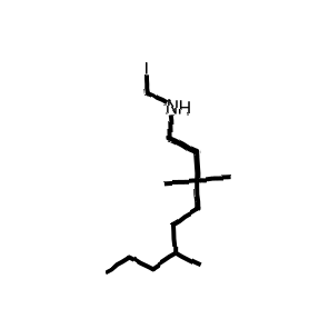 CCCC(C)CCC(C)(C)CCNCI